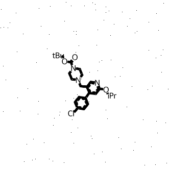 CC(C)Oc1cc(-c2ccc(Cl)cc2)c(CN2CCN(C(=O)OC(C)(C)C)CC2)cn1